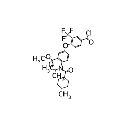 COC(=O)c1cc(Oc2ccc(C(=O)Cl)cc2C(F)(F)F)ccc1N(C(=O)[C@H]1CC[C@H](C)CC1)C(C)C